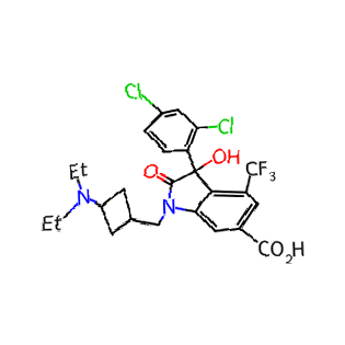 CCN(CC)C1CC(CN2C(=O)C(O)(c3ccc(Cl)cc3Cl)c3c2cc(C(=O)O)cc3C(F)(F)F)C1